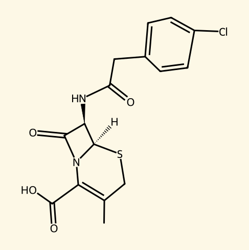 CC1=C(C(=O)O)N2C(=O)[C@@H](NC(=O)Cc3ccc(Cl)cc3)[C@H]2SC1